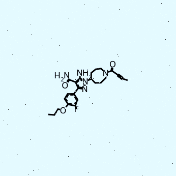 CC#CC(=O)N1CCCC(n2nc(-c3ccc(OCCC)c(F)c3)c(C(N)=O)c2N)CCC1